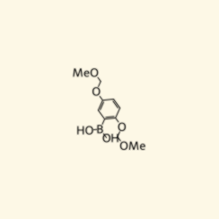 COCOc1ccc(OCOC)c(B(O)O)c1